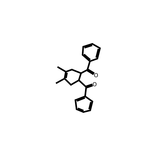 CC1=C(C)CC(C(=O)c2ccccc2)C(C(=O)c2ccccc2)C1